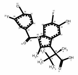 Cc1c([C@](C)(C(=O)O)C(C)(C)C)c2cc(O)c(F)cc2n1C(=O)c1ccc(Cl)c(F)c1